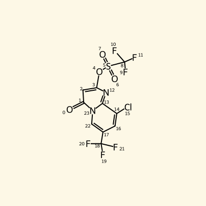 O=c1cc(OS(=O)(=O)C(F)(F)F)nc2c(Cl)cc(C(F)(F)F)cn12